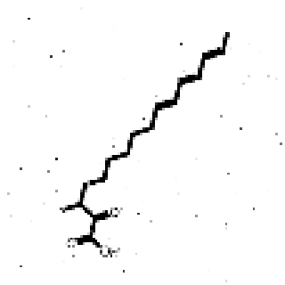 CC=CC=CC=CCCCCCCC(C)C(=O)C(=O)O